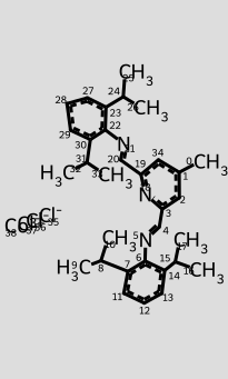 Cc1cc(C=Nc2c(C(C)C)cccc2C(C)C)nc(C=Nc2c(C(C)C)cccc2C(C)C)c1.[Cl-].[Cl-].[Cl-].[Co+3]